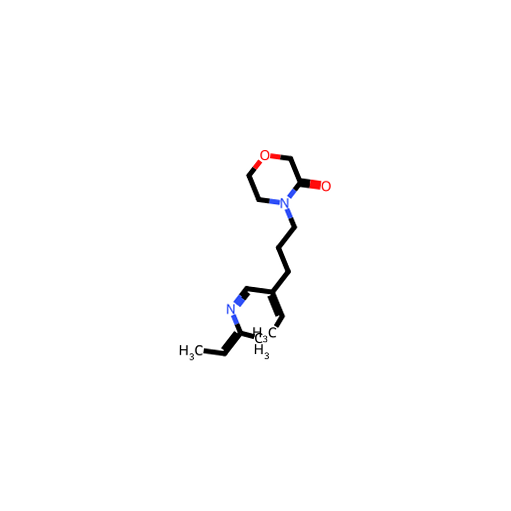 C\C=C(/C=N\C(C)=C/C)CCCN1CCOCC1=O